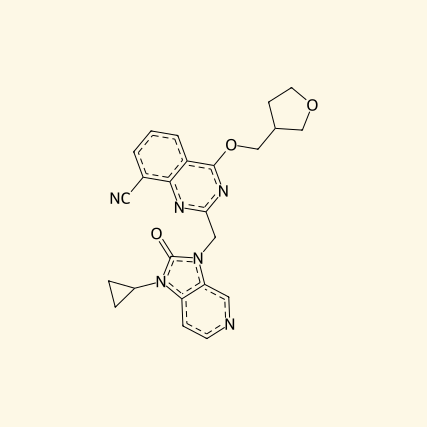 N#Cc1cccc2c(OCC3CCOC3)nc(Cn3c(=O)n(C4CC4)c4ccncc43)nc12